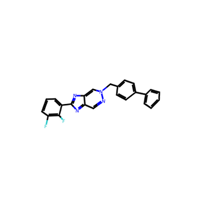 Fc1cccc(-c2nc3cnn(Cc4ccc(-c5ccccc5)cc4)cc-3n2)c1F